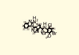 COc1c(Cl)c(NC(=O)c2csc3c(-n4c(N)nc5ccccc54)ncnc23)c(Cl)c(C)c1Br